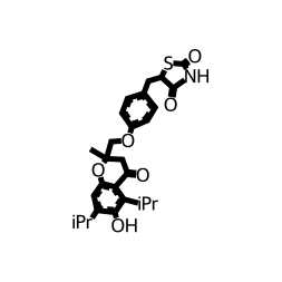 CC(C)c1cc2c(c(C(C)C)c1O)C(=O)CC(C)(COc1ccc(CC3SC(=O)NC3=O)cc1)O2